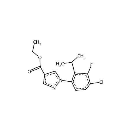 CCOC(=O)c1cnn(-c2ccc(Cl)c(F)c2C(C)C)c1